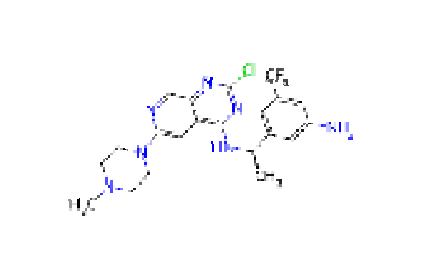 C[C@@H](Nc1nc(Cl)nc2cnc(N3CCN(C)CC3)cc12)c1cc(N)cc(C(F)(F)F)c1